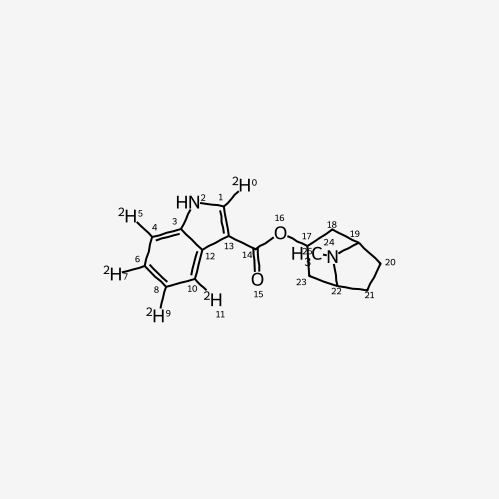 [2H]c1[nH]c2c([2H])c([2H])c([2H])c([2H])c2c1C(=O)OC1CC2CCC(C1)N2C